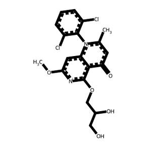 COc1cc2c(c(OCC(O)CO)n1)c(=O)cc(C)n2-c1c(Cl)cccc1Cl